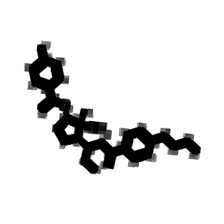 C=C(CC(CC)[C@H]1CC[C@H](OC(=C)c2ccc(C)cc2)[C@]1(C)N)c1ccc(CCCC)cc1